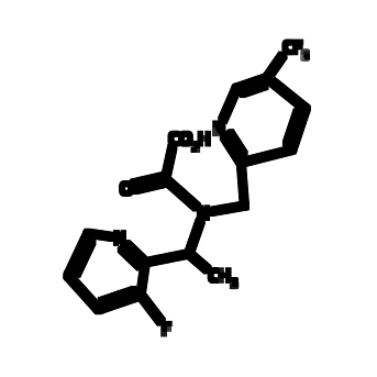 CC(c1ncccc1F)N(Cc1ccc(C(F)(F)F)cn1)C(=O)C(=O)O